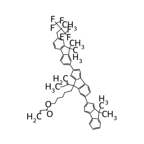 C=CC(=O)OCCCCCC1(C(=C)CC)c2cc(-c3ccc4c(c3)C(C)(C)c3ccccc3-4)ccc2-c2ccc(-c3ccc4c(c3)C(C)(C)c3cc(CC(C)(C(F)(F)F)C(F)(F)F)ccc3-4)cc21